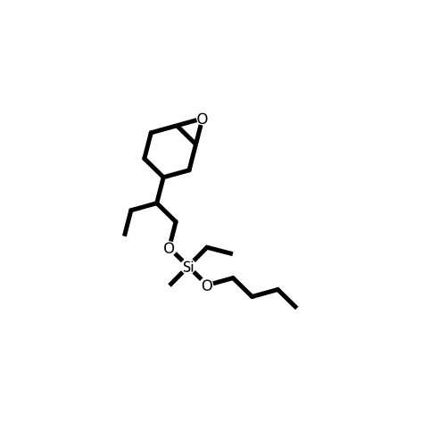 CCCCO[Si](C)(CC)OCC(CC)C1CCC2OC2C1